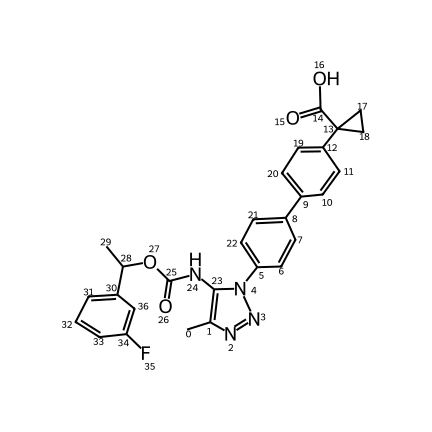 Cc1nnn(-c2ccc(-c3ccc(C4(C(=O)O)CC4)cc3)cc2)c1NC(=O)OC(C)c1cccc(F)c1